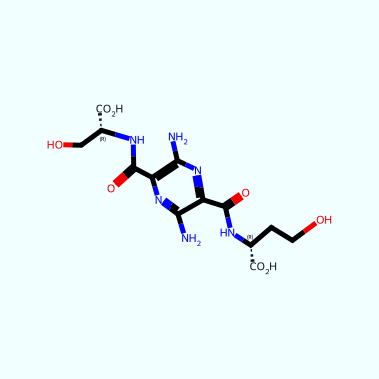 Nc1nc(C(=O)N[C@H](CCO)C(=O)O)c(N)nc1C(=O)N[C@H](CO)C(=O)O